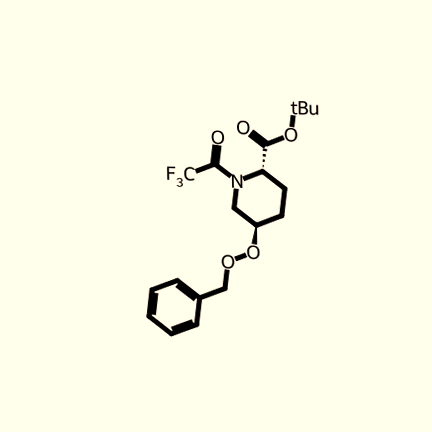 CC(C)(C)OC(=O)[C@@H]1CC[C@@H](OOCc2ccccc2)CN1C(=O)C(F)(F)F